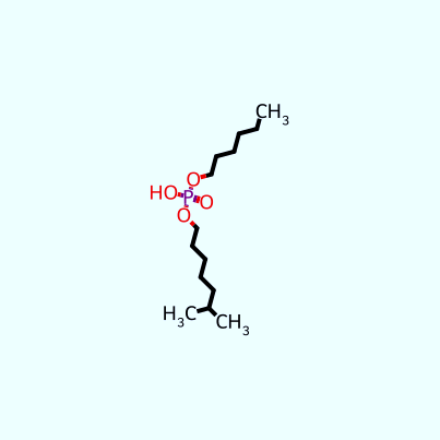 CCCCCCOP(=O)(O)OCCCCCC(C)C